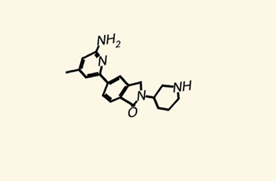 Cc1cc(N)nc(-c2ccc3c(c2)CN(C2CCCNC2)C3=O)c1